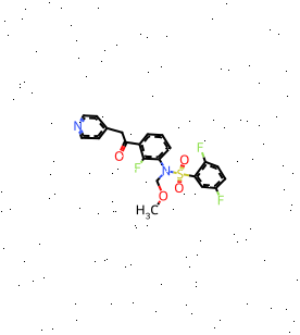 COCN(c1cccc(C(=O)Cc2ccncc2)c1F)S(=O)(=O)c1cc(F)ccc1F